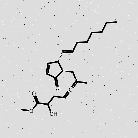 CCCCCCC=C[C@H]1C=CC(=O)[C@@H]1CC(C)=C=CCC(O)C(=O)OC